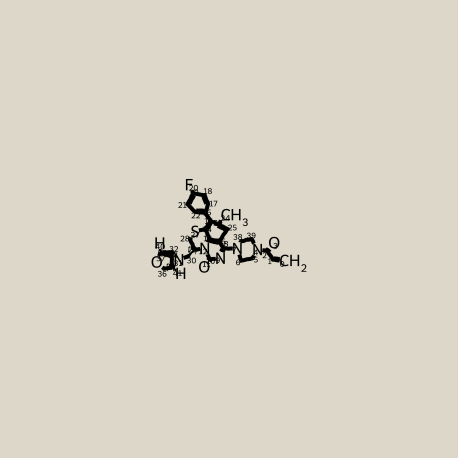 C=CC(=O)N1CCN(c2nc(=O)n3c4c(c(-c5ccc(F)cc5)c(C)cc24)SC[C@@H]3CN2C[C@@H]3C[C@H]2CO3)CC1